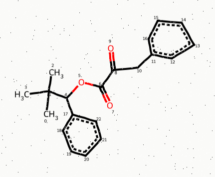 CC(C)(C)C(OC(=O)C(=O)Cc1ccccc1)c1ccccc1